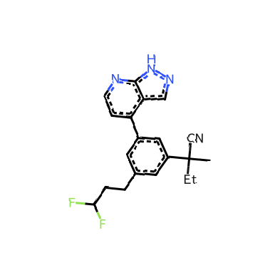 CCC(C)(C#N)c1cc(CCC(F)F)cc(-c2ccnc3[nH]ncc23)c1